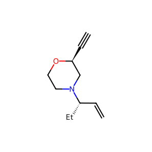 C#C[C@H]1CN([C@H](C=C)CC)CCO1